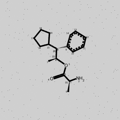 C[C@H](N)C(=O)O[C@@H](C)[C@@H](c1ccccc1)C1CCCC1